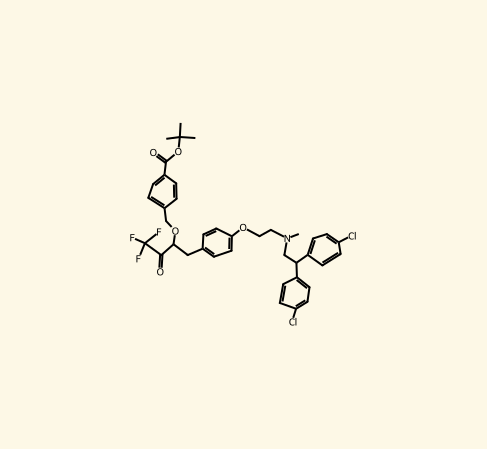 CN(CCOc1ccc(CC(OCc2ccc(C(=O)OC(C)(C)C)cc2)C(=O)C(F)(F)F)cc1)CC(c1ccc(Cl)cc1)c1ccc(Cl)cc1